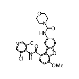 COc1ccc(C(=O)Nc2c(Cl)cncc2Cl)c2c1oc1ccc(NC(=O)N3CCOCC3)cc12